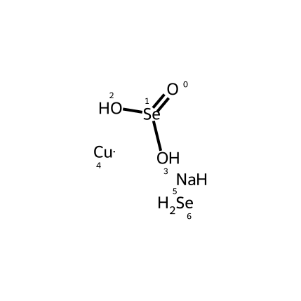 O=[Se](O)O.[Cu].[NaH].[SeH2]